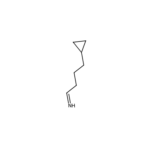 N=CCCCC1CC1